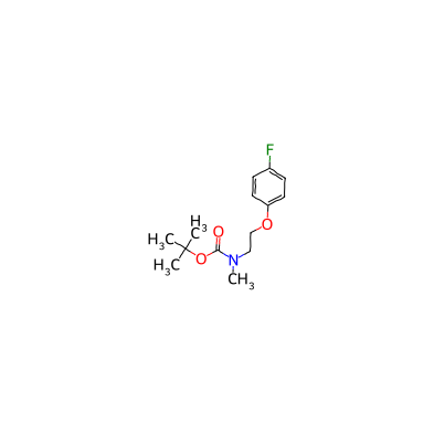 CN(CCOc1ccc(F)cc1)C(=O)OC(C)(C)C